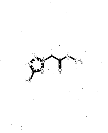 CNC(=O)Cn1nnc(S)n1